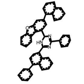 c1ccc(C2=NC(c3cc(-c4cccc5ccccc45)cc4oc5ccccc5c34)NC(c3ccc(-c4ccccc4)c4ccccc34)=N2)cc1